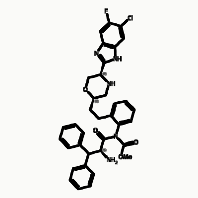 COC(=O)N(C(=O)[C@@H](N)C(c1ccccc1)c1ccccc1)c1ccccc1CC[C@@H]1CN[C@H](c2nc3cc(F)c(Cl)cc3[nH]2)CO1